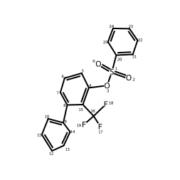 O=S(=O)(Oc1cccc(-c2ccccc2)c1C(F)(F)F)c1ccccc1